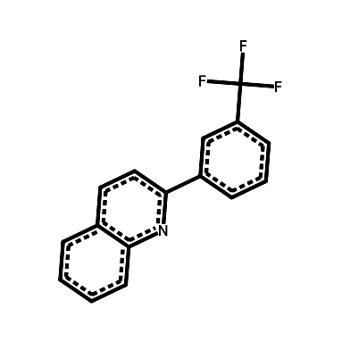 FC(F)(F)c1cccc(-c2ccc3ccccc3n2)c1